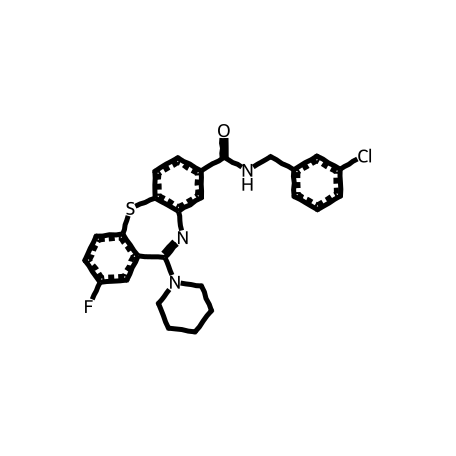 O=C(NCc1cccc(Cl)c1)c1ccc2c(c1)N=C(N1CCCCC1)c1cc(F)ccc1S2